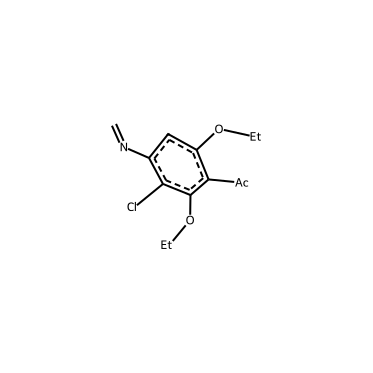 C=Nc1cc(OCC)c(C(C)=O)c(OCC)c1Cl